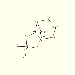 C[N+]1(C)CC2C3C=CC(CC3)C2C1